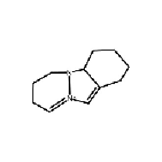 C1=C2CCCCC2N2CCCC=[N+]12